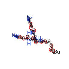 CC(C)(C)OC(=O)CCOCCC1CC1COCCOCCNC(=O)[C@H](CCCCNC(=O)CCOCCOCCN=[N+]=[N-])NC(=O)CCCNC(=O)CCOCCOCCN=[N+]=[N-]